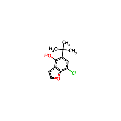 CC(C)(C)c1cc(Cl)c2occc2c1O